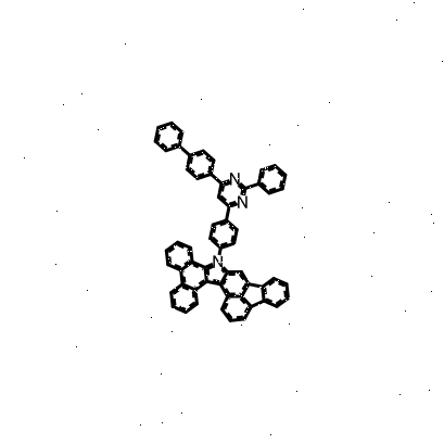 c1ccc(-c2ccc(-c3cc(-c4ccc(-n5c6cc7c8c(cccc8c6c6c8ccccc8c8ccccc8c65)-c5ccccc5-7)cc4)nc(-c4ccccc4)n3)cc2)cc1